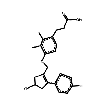 Cc1c(CCC(=O)O)ccc(OCC2=C(c3ccc(Cl)cc3)CC(Cl)C2)c1C